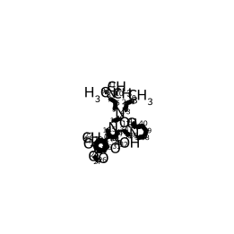 CCCCN(CCC[N+](C)(C)C)C(=O)CN1C[C@H](c2cc(OC)c3c(c2)OCO3)[C@@H](C(=O)O)[C@@H]1CCN1CCCCC1=O